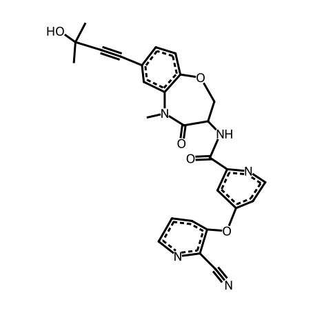 CN1C(=O)C(NC(=O)c2cc(Oc3cccnc3C#N)ccn2)COc2ccc(C#CC(C)(C)O)cc21